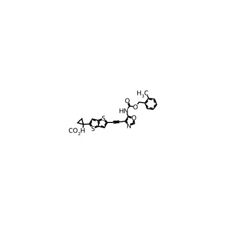 Cc1ccccc1COC(=O)Nc1ocnc1C#Cc1cc2sc(C3(C(=O)O)CC3)cc2s1